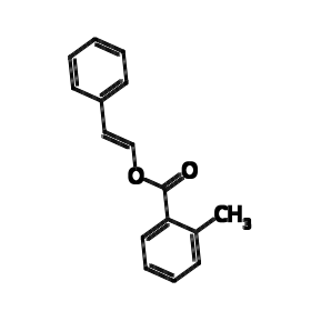 Cc1ccccc1C(=O)OC=Cc1ccccc1